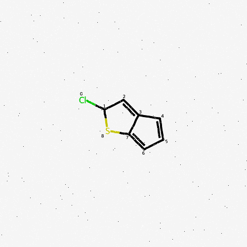 Cl[C]1C=C2C=CC=C2S1